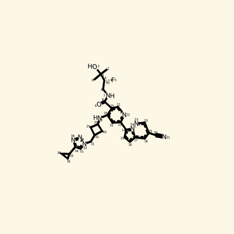 CC(C)(O)[C@H](F)CNC(=O)c1cnc(-c2ccc3cc(C#N)cnn23)cc1NC1CC(Cn2cc(C3CC3)nn2)C1